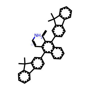 C=Cc1c(/C=C\N)c(-c2ccc3c(c2)C(C)(C)c2ccccc2-3)c2ccccc2c1-c1ccc2c(c1)C(C)(C)c1ccccc1-2